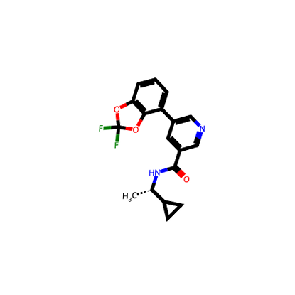 C[C@H](NC(=O)c1cncc(-c2cccc3c2OC(F)(F)O3)c1)C1CC1